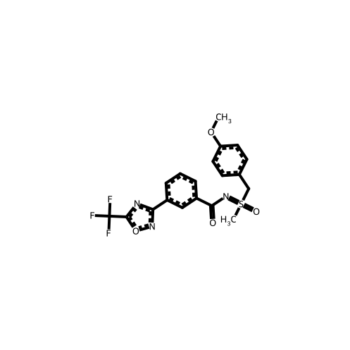 COc1ccc(CS(C)(=O)=NC(=O)c2cccc(-c3noc(C(F)(F)F)n3)c2)cc1